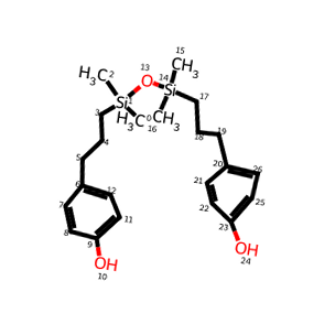 C[Si](C)(CCCc1ccc(O)cc1)O[Si](C)(C)CCCc1ccc(O)cc1